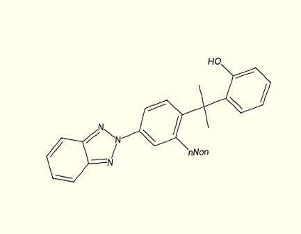 CCCCCCCCCc1cc(-n2nc3ccccc3n2)ccc1C(C)(C)c1ccccc1O